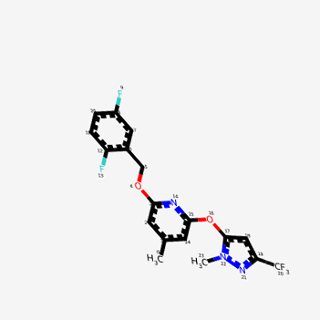 Cc1cc(OCc2cc(F)ccc2F)nc(Oc2cc(C(F)(F)F)nn2C)c1